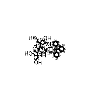 OCCC(CCO)(CCO)Nc1nc(NC(CCO)(CCO)CCO)nc(N2CCN(C(c3ccccc3)(c3ccccc3)c3ccccc3)CC2)n1